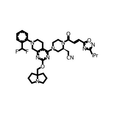 CC(C)c1noc(/C=C/C(=O)N2CCN(c3nc(OCC45CCCN4CCC5)nc4c3CCN(c3ccccc3C(F)F)C4)C[C@@H]2CC#N)n1